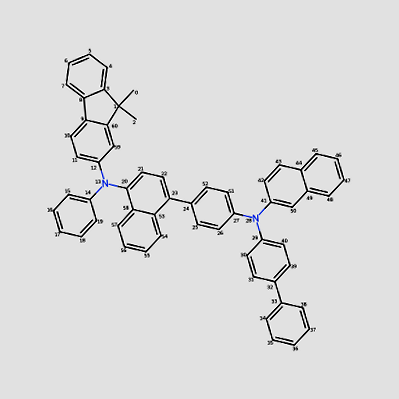 CC1(C)c2ccccc2-c2ccc(N(c3ccccc3)c3ccc(-c4ccc(N(c5ccc(-c6ccccc6)cc5)c5ccc6ccccc6c5)cc4)c4ccccc34)cc21